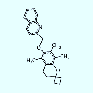 Cc1c(C)c2c(c(C)c1OCc1ccc3ccccc3n1)CCC1(CCC1)O2